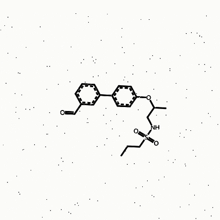 CCCS(=O)(=O)NCC(C)Oc1ccc(-c2cccc(C=O)c2)cc1